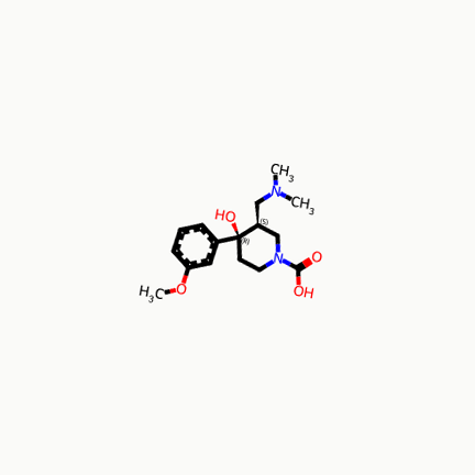 COc1cccc([C@@]2(O)CCN(C(=O)O)C[C@@H]2CN(C)C)c1